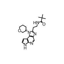 CC(C)(C)C(=O)NCCc1nc2cnc3[nH]ccc3c2n1[C@H]1CCCOC1